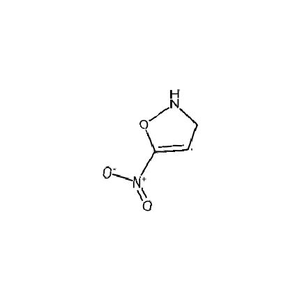 O=[N+]([O-])C1=[C]CNO1